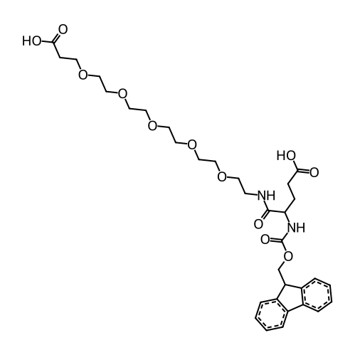 O=C(O)CCOCCOCCOCCOCCOCCNC(=O)C(CCC(=O)O)NC(=O)OCC1c2ccccc2-c2ccccc21